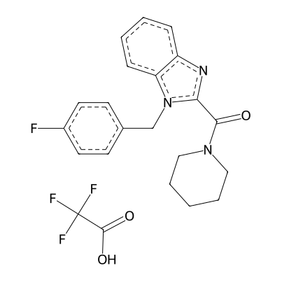 O=C(O)C(F)(F)F.O=C(c1nc2ccccc2n1Cc1ccc(F)cc1)N1CCCCC1